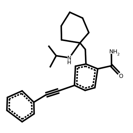 CC(C)NC1(Cc2cc(C#Cc3ccccc3)ccc2C(N)=O)CCCCC1